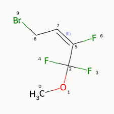 COC(F)(F)/C(F)=C\CBr